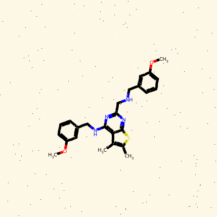 COc1cccc(CNCc2nc(NCc3cccc(OC)c3)c3c(C)c(C)sc3n2)c1